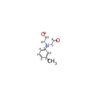 Cc1cccc(N(CC=O)CC=O)c1